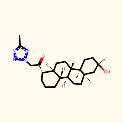 Cc1nnn(CC(=O)[C@H]2CCC[C@H]3[C@@H]4CC[C@@H]5C[C@](C)(O)CC[C@]5(C)[C@H]4CC[C@]23C)n1